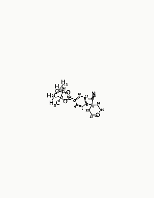 CC1(C)OB(c2ccc(C3(C#N)CCOCC3)cc2)OC1(C)C